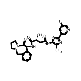 Cc1nc(-c2cncc(F)c2)sc1NC(=O)C[C@@H](C)C(=O)N[C@@H]1C(=O)N2CCCN2Cc2ccccc21